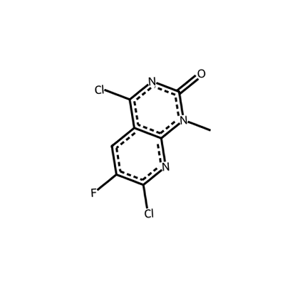 Cn1c(=O)nc(Cl)c2cc(F)c(Cl)nc21